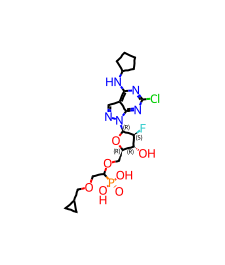 O=P(O)(O)C(COCC1CC1)OC[C@H]1O[C@@H](n2ncc3c(NC4CCCC4)nc(Cl)nc32)[C@@H](F)[C@@H]1O